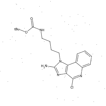 CC(C)(C)OC(=O)NCCCCn1c(N)nc2c(Cl)nc3ccccc3c21